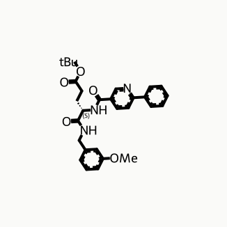 COc1cccc(CNC(=O)[C@H](CCC(=O)OC(C)(C)C)NC(=O)c2ccc(-c3ccccc3)nc2)c1